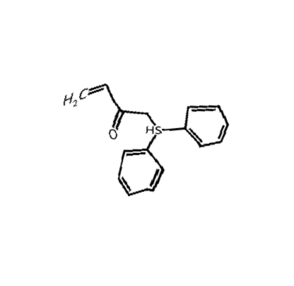 C=CC(=O)C[SH](c1ccccc1)c1ccccc1